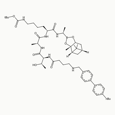 CCCCc1ccc(-c2ccc(CNCCCC(=O)N[C@H](C(=O)N[C@@H](C)C(=O)N[C@@H](CCCCNC(=O)OC(C)(C)C)C(=O)N[C@@H](C)B3OC4C[C@@H]5C[C@@H](C5(C)C)[C@]4(C)O3)[C@@H](C)O)cc2)cc1